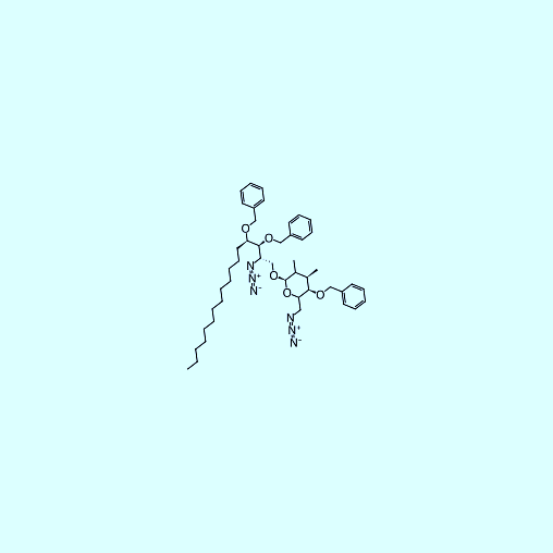 CCCCCCCCCCCCC[C@@H](OCc1ccccc1)[C@@H](OCc1ccccc1)[C@H](CO[C@@H]1OC(CN=[N+]=[N-])[C@H](OCc2ccccc2)[C@H](C)C1C)N=[N+]=[N-]